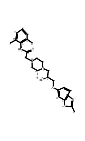 Cc1nc2ccc(OC[C@@H](O)CN3CCN(CC(=O)Nc4c(C)cccc4C)C[C@H]3C)cc2s1